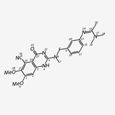 COc1cc2[nH]c(N(C)Cc3cccc(N=C(C)N(C)C)c3)nc(=O)c2c(C#N)c1OC